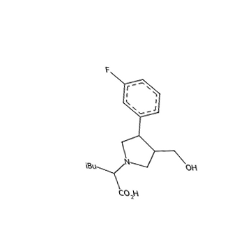 CCC(C)C(C(=O)O)N1CC(CO)C(c2cccc(F)c2)C1